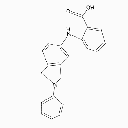 O=C(O)c1ccccc1Nc1ccc2c(c1)CN(c1ccccc1)C2